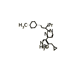 CCC(C)/N=C\C(=C(/C)CC1CC1)c1ccnc(C(CC[C@H]2CC[C@@H](C)CC2)C(C)C)n1